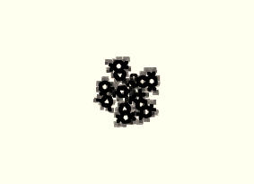 Cc1cc(C)c2c(c1)N(c1cc3c4c(c1)N(c1ccc5c(c1)C(C)(C)CCC5(C)C)c1oc5cc6c(cc5c1B4C1=C(c4cc5c(cc4C1(C)C)C(C)(C)CCC5(C)C)N3c1ccc3c(c1)C(C)(C)CCC3(C)C)C(C)(C)CCC6(C)C)C1(C)CCCCC21C